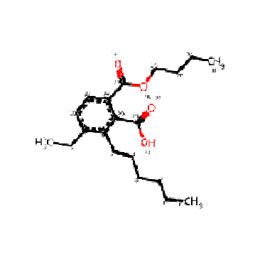 CCCCCCc1c(CC)ccc(C(=O)OCCCC)c1C(=O)O